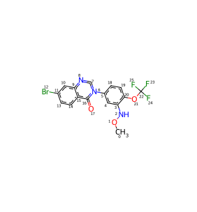 CONc1cc(-n2cnc3cc(Br)ccc3c2=O)ccc1OC(F)(F)F